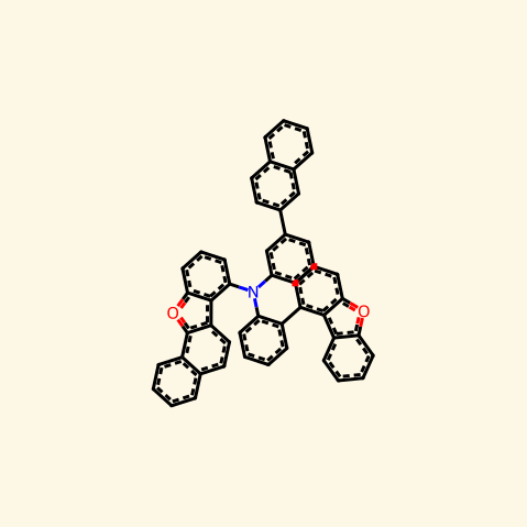 c1cc(-c2ccc3ccccc3c2)cc(N(c2ccccc2-c2cccc3oc4ccccc4c23)c2cccc3oc4c5ccccc5ccc4c23)c1